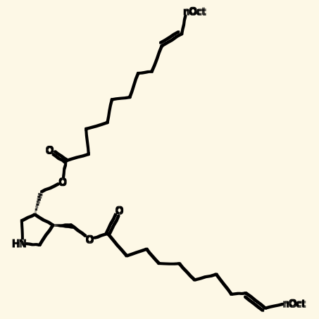 CCCCCCCC/C=C/CCCCCCCC(=O)OC[C@H]1CNC[C@@H]1COC(=O)CCCCCCC/C=C/CCCCCCCC